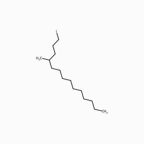 CCCCCCCCCCC(C)CCCI